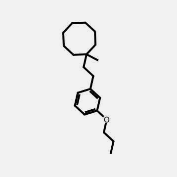 CCCOc1cccc(CCC2(C)CCCCCCC2)c1